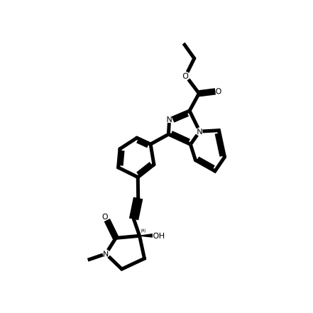 CCOC(=O)c1nc(-c2cccc(C#C[C@]3(O)CCN(C)C3=O)c2)c2ccccn12